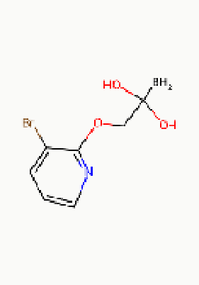 BC(O)(O)COc1ncccc1Br